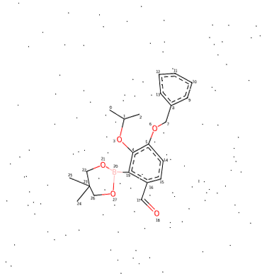 CC(C)Oc1c(OCc2ccccc2)ccc(C=O)c1B1OCC(C)(C)CO1